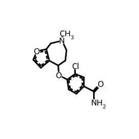 CN1CCC(Oc2ccc(C(N)=O)cc2Cl)c2ccoc2C1